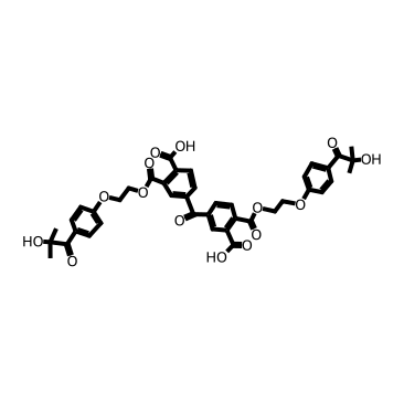 CC(C)(O)C(=O)c1ccc(OCCOC(=O)c2ccc(C(=O)c3ccc(C(=O)O)c(C(=O)OCCOc4ccc(C(=O)C(C)(C)O)cc4)c3)cc2C(=O)O)cc1